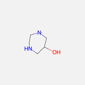 OC1C[N]CCNC1